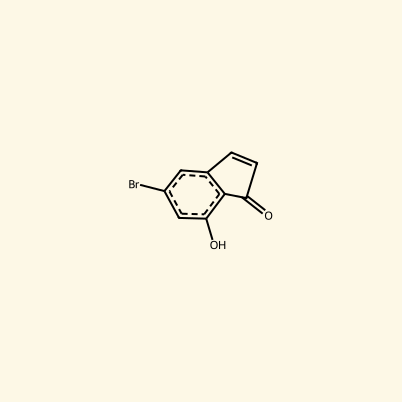 O=C1C=Cc2cc(Br)cc(O)c21